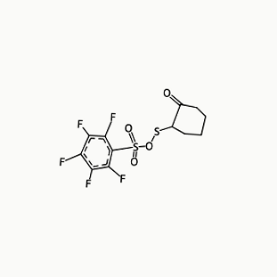 O=C1CCCCC1SOS(=O)(=O)c1c(F)c(F)c(F)c(F)c1F